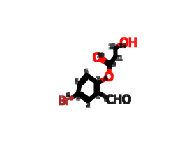 O=Cc1cc(Br)ccc1OC(=O)CCO